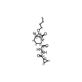 CCCCON1C(=O)N2C[C@H]1CC[C@H]2C(=O)NNC(=O)C1CC1